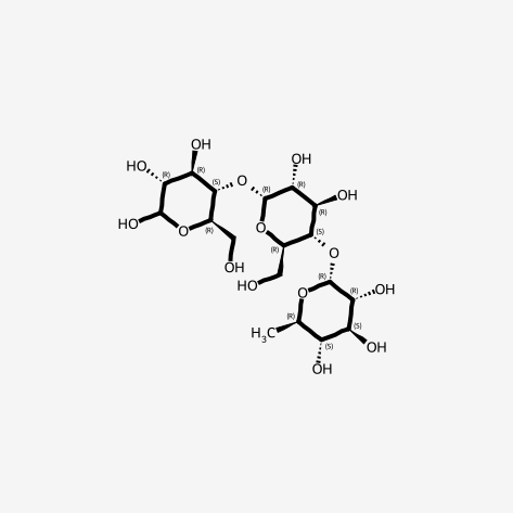 C[C@H]1O[C@H](O[C@H]2[C@H](O)[C@@H](O)[C@@H](O[C@H]3[C@H](O)[C@@H](O)C(O)O[C@@H]3CO)O[C@@H]2CO)[C@H](O)[C@@H](O)[C@@H]1O